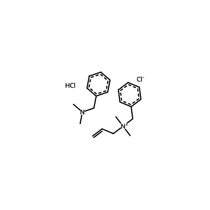 C=CC[N+](C)(C)Cc1ccccc1.CN(C)Cc1ccccc1.Cl.[Cl-]